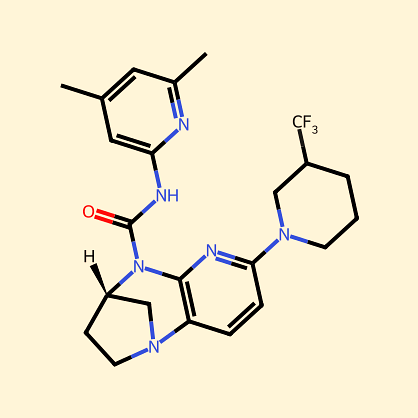 Cc1cc(C)nc(NC(=O)N2c3nc(N4CCCC(C(F)(F)F)C4)ccc3N3CC[C@H]2C3)c1